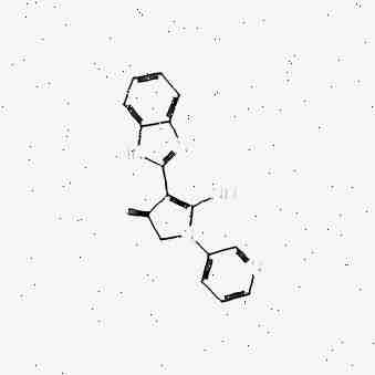 NC1=C(c2nc3ccccc3[nH]2)C(=O)CN1c1cccnc1